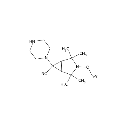 CCCON1C(C)(C)C2C(C1(C)C)C2(C#N)N1CCNCC1